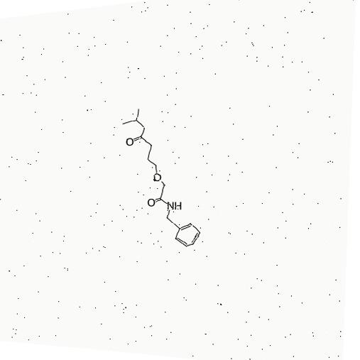 CC(C)CC(=O)CCCOCC(=O)NCc1ccccc1